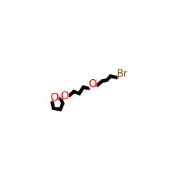 BrCCCCCOCCCCCOC1CCCCO1